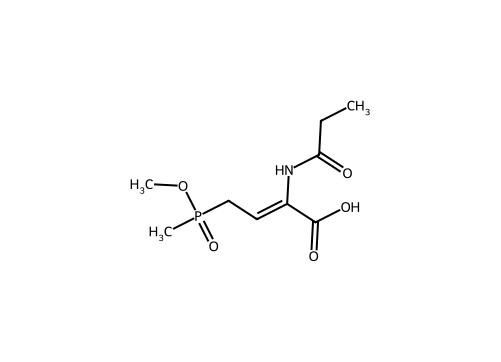 CCC(=O)N/C(=C\CP(C)(=O)OC)C(=O)O